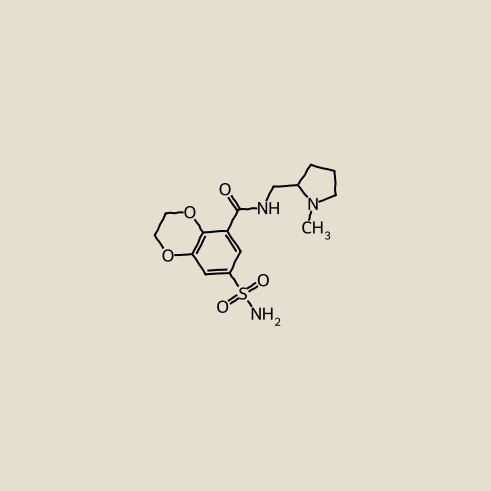 CN1CCCC1CNC(=O)c1cc(S(N)(=O)=O)cc2c1OCCO2